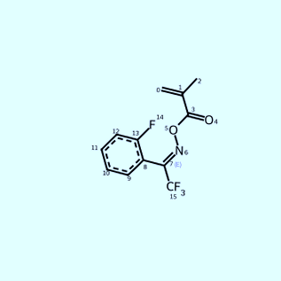 C=C(C)C(=O)O/N=C(\c1ccccc1F)C(F)(F)F